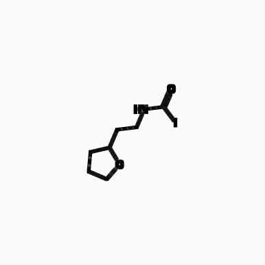 O=C(I)NCCC1CCCO1